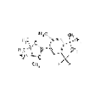 Cc1cc(C(C)(C)C)c(C(F)(F)F)cc1B1OC(C)(C)C(C)(C)O1